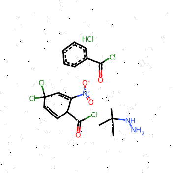 CC(C)(C)NN.Cl.O=C(Cl)C1C=CC(Cl)(Cl)C=C1[N+](=O)[O-].O=C(Cl)c1ccccc1